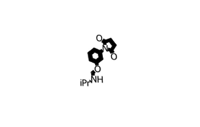 CC(C)NCOc1cccc(N2C(=O)C=CC2=O)c1